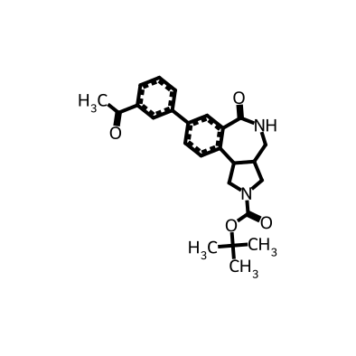 CC(=O)c1cccc(-c2ccc3c(c2)C(=O)NCC2CN(C(=O)OC(C)(C)C)CC32)c1